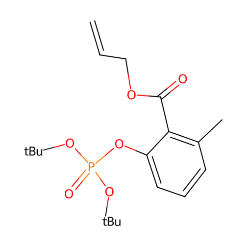 C=CCOC(=O)c1c(C)cccc1OP(=O)(OC(C)(C)C)OC(C)(C)C